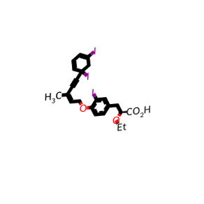 CCO[C@@H](Cc1ccc(OC/C=C(/C)C#CC2(I)C=CC=C(I)C2)c(I)c1)C(=O)O